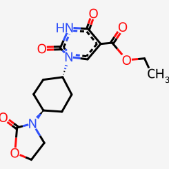 CCOC(=O)c1cn([C@H]2CC[C@H](N3CCOC3=O)CC2)c(=O)[nH]c1=O